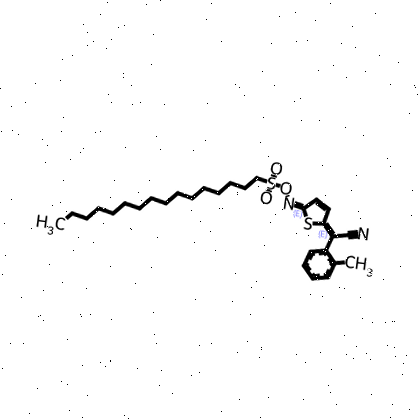 CCCCCCCCCCCCCCCCS(=O)(=O)O/N=C1C=C/C(=C(\C#N)c2ccccc2C)S\1